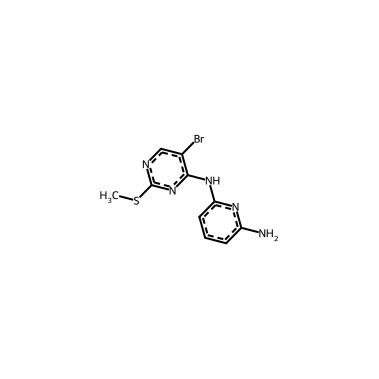 CSc1ncc(Br)c(Nc2cccc(N)n2)n1